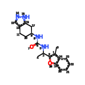 Cc1c(C(C)NC(=O)NC2CCc3cn[nH]c3C2)oc2ccccc12